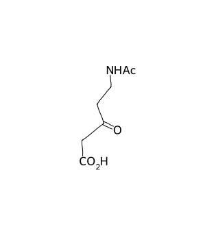 CC(=O)NCCC(=O)CC(=O)O